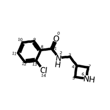 O=C(NCC1CNC1)c1ccccc1Cl